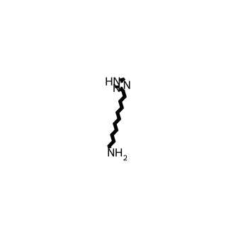 NCCCCCCCCCCc1nc[nH]n1